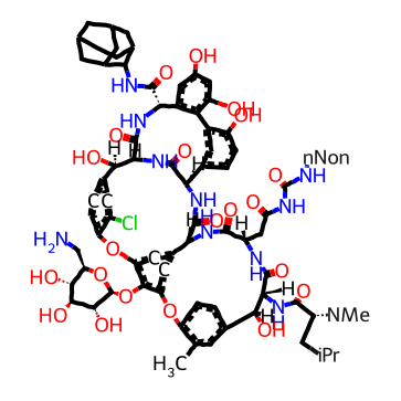 CCCCCCCCCNC(=O)NC(=O)C[C@@H]1NC(=O)[C@H](NC(=O)[C@@H](CC(C)C)NC)[C@H](O)c2ccc(c(C)c2)Oc2cc3cc(c2O[C@@H]2O[C@H](CN)[C@@H](O)[C@H](O)[C@H]2O)Oc2ccc(cc2Cl)[C@@H](O)[C@@H]2NC(=O)[C@H](NC(=O)[C@@H]3NC1=O)c1ccc(O)c(c1)-c1c(O)cc(O)cc1[C@@H](C(=O)NC1C3CC4CC(C3)CC1C4)NC2=O